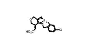 O=C(O)C=C1COCc2cnn(Cc3ccc(Cl)cc3Cl)c21